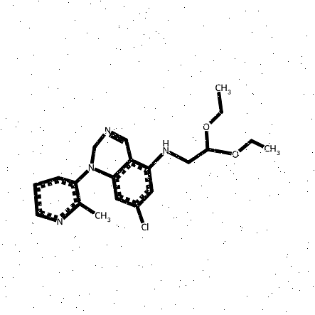 CCOC(CNc1cc(Cl)cc2c1C=NCN2c1cccnc1C)OCC